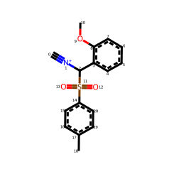 C#[N+]C(c1ccccc1OC)S(=O)(=O)c1ccc(C)cc1